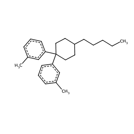 CCCCCC1CCC(c2cccc(C)c2)(c2cccc(C)c2)CC1